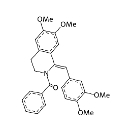 COc1ccc(/C=C2/c3cc(OC)c(OC)cc3CCN2C(=O)c2ccccc2)cc1OC